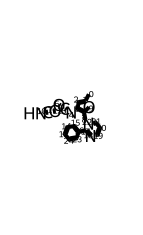 Cc1cc(N=C=O)c(C)o1.N=C=O.c1ccc(-c2ncccn2)cc1